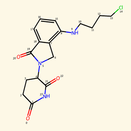 O=C1CCC(N2Cc3c(NCCCCCl)cccc3C2=O)C(=O)N1